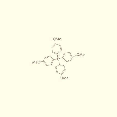 COc1ccc([PH](c2ccc(OC)cc2)(c2ccc(OC)cc2)c2ccc(OC)cc2)cc1